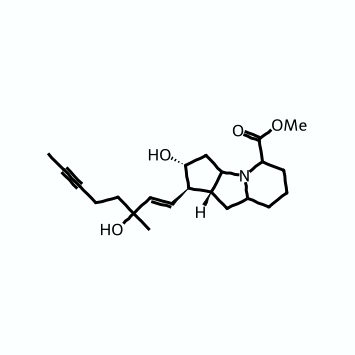 CC#CCCC(C)(O)/C=C/[C@H]1[C@H](O)CC2[C@@H]1CC1CCCC(C(=O)OC)N12